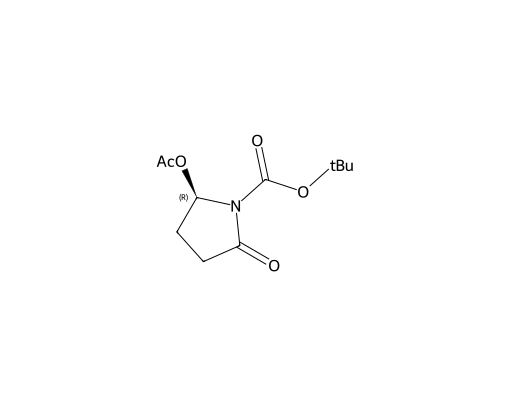 CC(=O)O[C@@H]1CCC(=O)N1C(=O)OC(C)(C)C